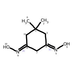 CC1(C)C/C(=N\O)C/C(=N/O)C1